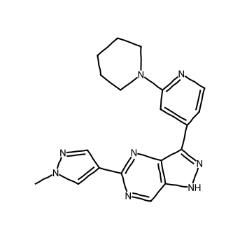 Cn1cc(-c2ncc3[nH]nc(-c4ccnc(N5CCCCC5)c4)c3n2)cn1